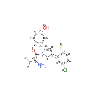 CC(C)[C@H](N)C(=O)N1CC(c2cc(Cl)ccc2F)=C[C@H]1c1cccc(O)c1